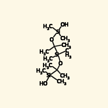 CC(C)(O[Si](C)(C)C(C)(C)O[Si](C)(C)O)[Si](C)(C)O